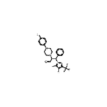 Cc1c(Cl)c(C(F)(F)F)nn1C(c1ccccc1)C(C=O)N1CCN(c2ccc(Cl)cc2)CC1